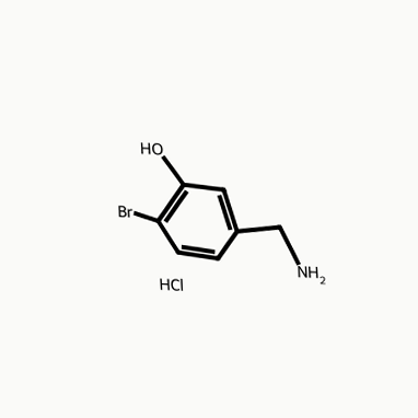 Cl.NCc1ccc(Br)c(O)c1